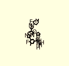 [2H]C([2H])([2H])NC(=O)c1cc(C)c(F)c(-c2cnn3cc(-c4cnn([C@@H]5CCN(C)C[C@H]5F)c4)c(O[C@H]4CCOC4)nc23)c1